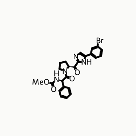 COC(=O)N[C@@H](C(=O)N1CCC[C@H]1C(=O)c1ncc(-c2cccc(Br)c2)[nH]1)c1ccccc1